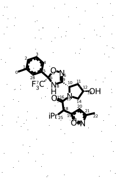 Cc1cccc([C@]2(C(F)(F)F)NC([C@@H]3C[C@@H](O)CN3C(=O)C(c3cc(C)no3)C(C)C)=NO2)c1